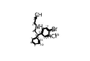 C#CCNC[C@H](c1ccccc1)c1ccc(Br)cc1.Cl